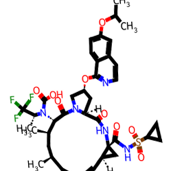 CC(C)Oc1ccc2c(O[C@@H]3C[C@H]4C(=O)N[C@]5(C(=O)NS(=O)(=O)C6CC6)C[C@H]5C=CCC[C@@H](C)C[C@@H](C)[C@H](N(C(=O)O)[C@H](C)C(F)(F)F)C(=O)N4C3)nccc2c1